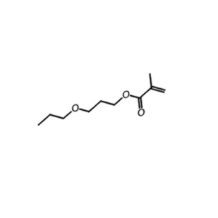 C=C(C)C(=O)OCCCOCCC